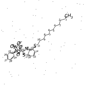 CCCCCCCCCCCCSc1cccc2sc(S(=O)(=O)N(c3ccccc3)[N+](=O)[O-])nc12